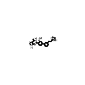 C=C1NC(c2ccc(-c3cccc(CCc4nnn[nH]4)c3)cc2OCC)=Nc2[nH]nnc21